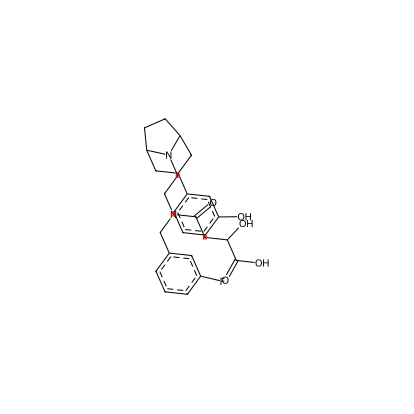 O=C(O)C(O)CC(=O)N(CCN1C2CCC1CC(c1cccc(O)c1)C2)Cc1cccc(F)c1